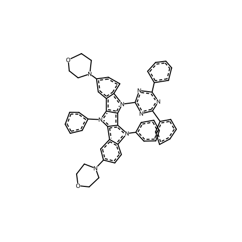 c1ccc(-c2nc(-c3ccccc3)nc(-n3c4ccc(N5CCOCC5)cc4c4c3c3c(c5cc(N6CCOCC6)ccc5n3-c3ccccc3)n4-c3ccccc3)n2)cc1